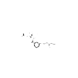 CCCC(Br)CCOc1cccc(C(=O)NC(C)(NOC(=O)O)C(C)(C)C)c1